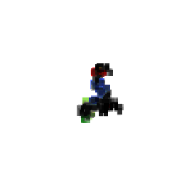 CC1(C)[C@H]2CC[C@]1(c1ccnc(-n3cnc(CCS(C)(=O)=O)n3)n1)c1nnc(-c3c(F)ccc(Cl)c3F)cc12